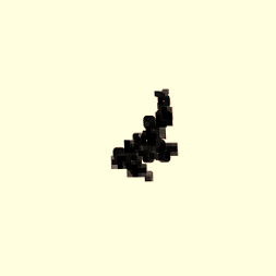 CC(C)OCc1cn(CC(=O)NCCSc2nc3c(=O)[nH]c(N)nc3n2C2OC3COPOC3C2O)nn1